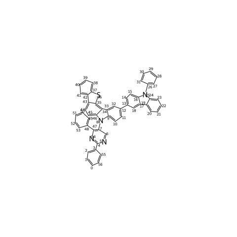 c1ccc(-c2ncc(-n3c4ccc(-c5ccc6c(c5)c5ccccc5n6-c5ccccc5)cc4c4c5sc6ccccc6c5ccc43)c(-c3ccccc3)n2)cc1